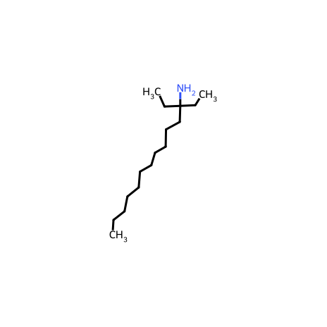 CCCCCCCCCCCC(N)(CC)CC